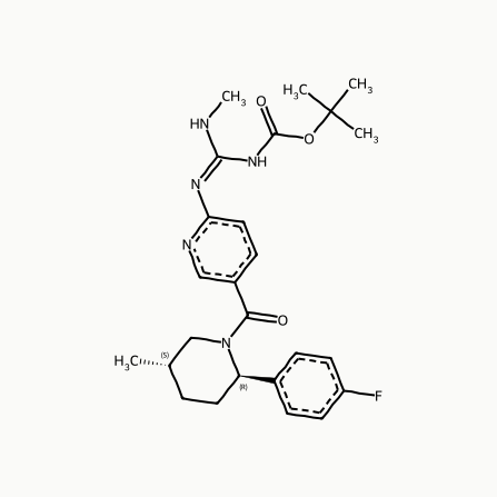 CNC(=Nc1ccc(C(=O)N2C[C@@H](C)CC[C@@H]2c2ccc(F)cc2)cn1)NC(=O)OC(C)(C)C